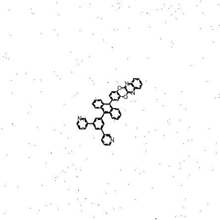 c1cncc(-c2cc(-c3cccnc3)cc(-c3c4ccccc4c(-c4ccc5c(c4)Oc4nc6ccccc6nc4O5)c4ccccc34)c2)c1